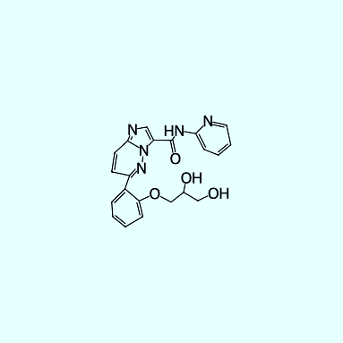 O=C(Nc1ccccn1)c1cnc2ccc(-c3ccccc3OCC(O)CO)nn12